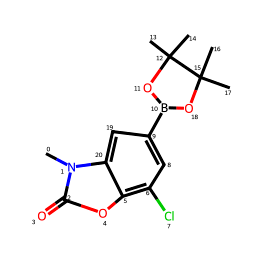 Cn1c(=O)oc2c(Cl)cc(B3OC(C)(C)C(C)(C)O3)cc21